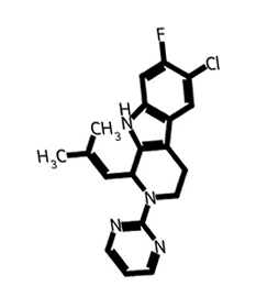 CC(C)=CC1c2[nH]c3cc(F)c(Cl)cc3c2CCN1c1ncccn1